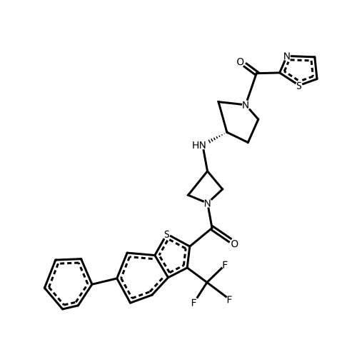 O=C(c1nccs1)N1CC[C@H](NC2CN(C(=O)c3sc4cc(-c5ccccc5)ccc4c3C(F)(F)F)C2)C1